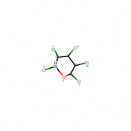 ClC1O[SiH](Cl)C(Cl)C(Cl)C1Cl